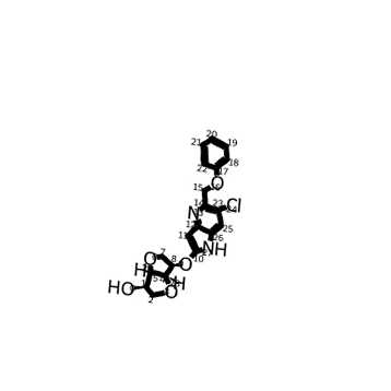 O[C@@H]1CO[C@H]2[C@@H]1OC[C@H]2Oc1cc2nc(COc3ccccc3)c(Cl)cc2[nH]1